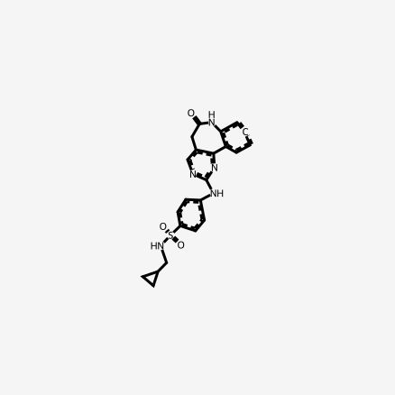 O=C1Cc2cnc(Nc3ccc(S(=O)(=O)NCC4CC4)cc3)nc2-c2ccccc2N1